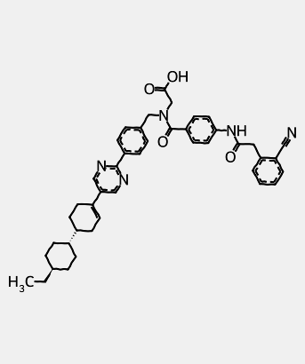 CC[C@H]1CC[C@H](C2CC=C(c3cnc(-c4ccc(CN(CC(=O)O)C(=O)c5ccc(NC(=O)Cc6ccccc6C#N)cc5)cc4)nc3)CC2)CC1